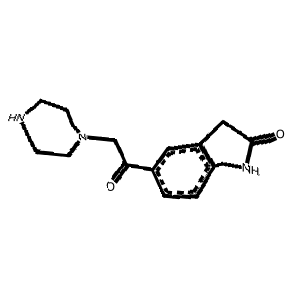 O=C1Cc2cc(C(=O)CN3CCNCC3)ccc2N1